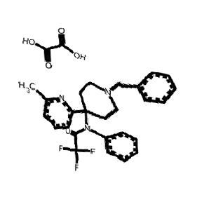 Cc1cccc(C2(N(C(=O)C(F)(F)F)c3ccccc3)CCN(Cc3ccccc3)CC2)n1.O=C(O)C(=O)O